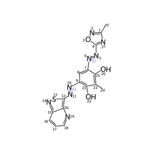 Cc1noc(/N=N/c2cc(/N=N/c3snc4cccnc34)c(O)c(C)c2O)n1